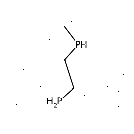 CPCCP